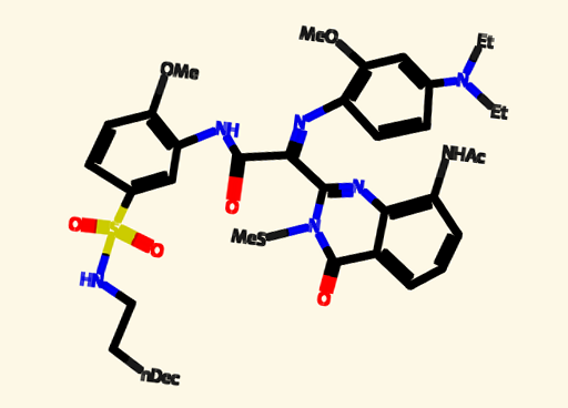 CCCCCCCCCCCCNS(=O)(=O)c1ccc(OC)c(NC(=O)/C(=N/c2ccc(N(CC)CC)cc2OC)c2nc3c(NC(C)=O)cccc3c(=O)n2SC)c1